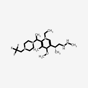 CCN1C=C([C@@H](C)CNNC)C(OC)C(C)=C1C(C)N1CCN(CC(F)(F)F)CC1